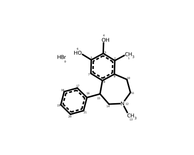 Br.Cc1c(O)c(O)cc2c1CCN(C)CC2c1ccccc1